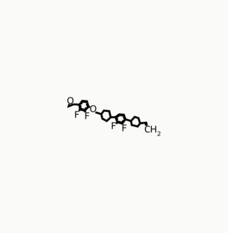 C=CC1CCC(c2ccc(C3CCC(COc4ccc(C5CO5)c(F)c4F)CC3)c(F)c2F)CC1